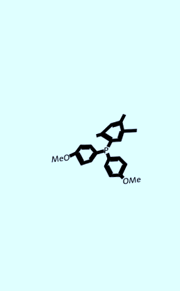 COc1ccc(P(c2ccc(OC)cc2)c2cc(C)c(C)cc2C)cc1